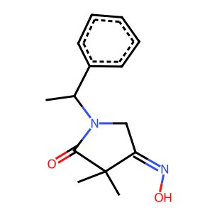 CC(c1ccccc1)N1C/C(=N/O)C(C)(C)C1=O